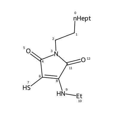 CCCCCCCCCN1C(=O)C(S)=C(NCC)C1=O